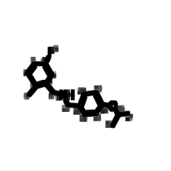 Cc1ccc(F)cc1CNCc1ccc(OC(C)C)cc1